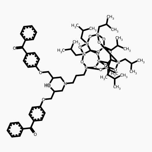 CC(C)C[Si]12OC34O[Si]5(CC(C)C)OC6(O1)[Si]1(CC(C)C)O[Si](CCCN(CC(O)COc7ccc(C(=O)c8ccccc8)cc7)CC(O)COc7ccc(C(=O)c8ccccc8)cc7)(O2)O[Si]3(CC(C)C)O[Si]4(CC(C)C)O[Si](CC(C)C)(O5)O[Si]6(CC(C)C)O1